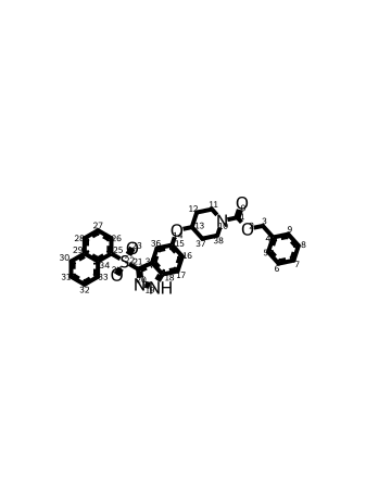 O=C(OCc1ccccc1)N1CCC(Oc2ccc3[nH]nc(S(=O)(=O)c4cccc5ccccc45)c3c2)CC1